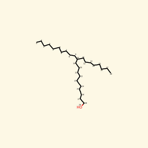 CCCCCCCCCCC(CCCCCCCC)CCCCCCCCCCO